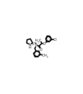 Cc1cccc(CN(C[C@H]2CCCN2)C(=O)C(C)Oc2cccc(Cl)c2)c1